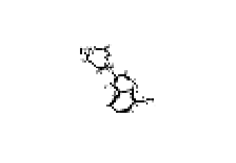 Clc1cccc2nc(N3CCNCC3)cnc12